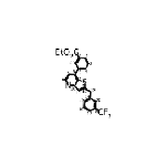 CCOC(=O)c1cccc(-c2ccnc3cc(Cc4cccc(C(F)(F)F)c4)sc23)c1